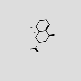 C=C(C)[C@@H]1CC(=O)C2=CCC[C@H](C)[C@@]2(C)C1